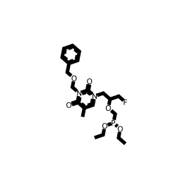 CCOP(COC(CF)Cn1cc(C)c(=O)n(COCc2ccccc2)c1=O)OCC